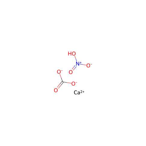 O=C([O-])[O-].O=[N+]([O-])O.[Ca+2]